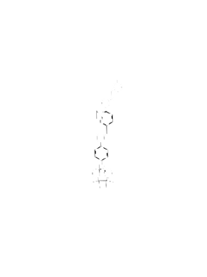 COCCOc1ccc(COc2ccc(B3OC(C)(C)C(C)(C)O3)cc2)cn1